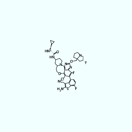 N#Cc1c(N)sc2c(F)ccc(-c3c(Cl)c4c5c(nc(OC[C@@]67CCCN6C[C@H](F)C7)nc5c3F)N3CCC(NC(=O)[C@@H]5N[C@H]5C5CC5)CC3CCO4)c12